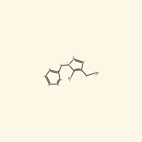 CCc1c(CO)cnn1Cc1ccccc1